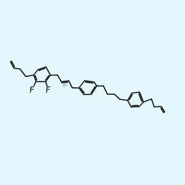 C=CCCc1ccc(CCCCc2ccc(C/C=C/Cc3ccc(CCC=C)c(F)c3F)cc2)cc1